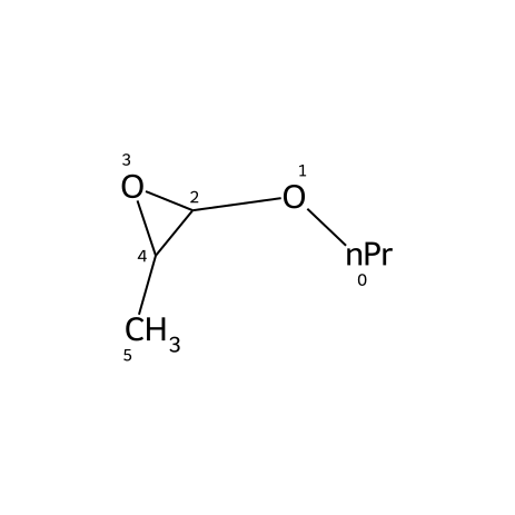 [CH2]CCOC1OC1C